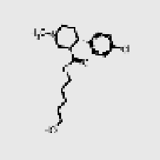 CN1CC[C@H](c2ccc(Cl)cc2)[C@@H](C(=O)OCCCCCO)C1